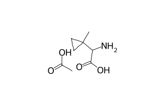 CC(=O)O.CC1(C(N)C(=O)O)CC1